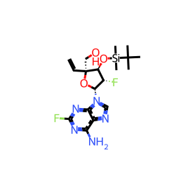 C=C[C@]1(CO)O[C@@H](n2cnc3c(N)nc(F)nc32)[C@@H](F)[C@@H]1O[Si](C)(C)C(C)(C)C